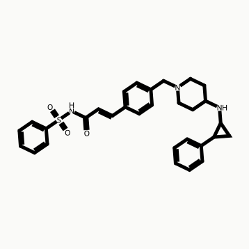 O=C(C=Cc1ccc(CN2CCC(NC3CC3c3ccccc3)CC2)cc1)NS(=O)(=O)c1ccccc1